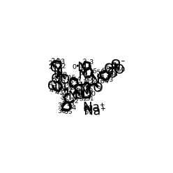 CN1CCc2cc(N(C(=O)c3cc(-c4ccc(OCC(=O)N5CCCCC5)cc4C(=O)N4Cc5ccccc5C[C@H]4CN4CCOCC4)n4c3CCCC4)c3ccc(OP(=O)([O-])[O-])cc3)cnc21.[Na+].[Na+]